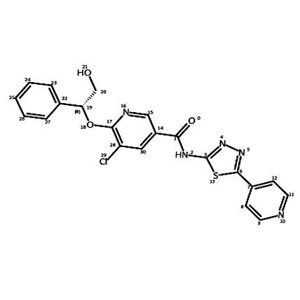 O=C(Nc1nnc(-c2ccncc2)s1)c1cnc(O[C@@H](CO)c2ccccc2)c(Cl)c1